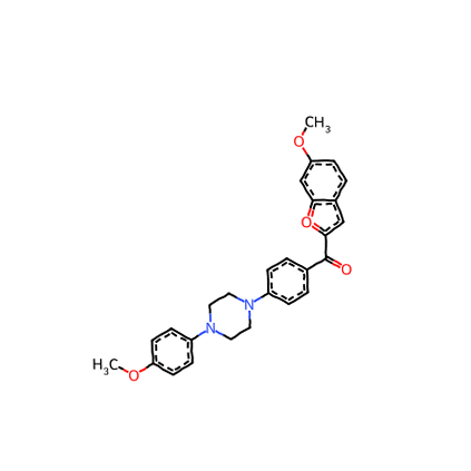 COc1ccc(N2CCN(c3ccc(C(=O)c4cc5ccc(OC)cc5o4)cc3)CC2)cc1